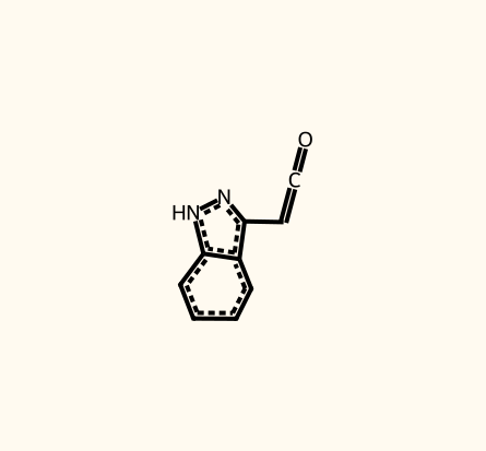 O=C=Cc1n[nH]c2ccccc12